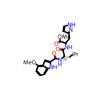 COC(=O)C(Cc1cc[nH]n1)NC(=O)[C@H](CC(C)C)NC(=O)c1cc2c(OC)cccc2[nH]1